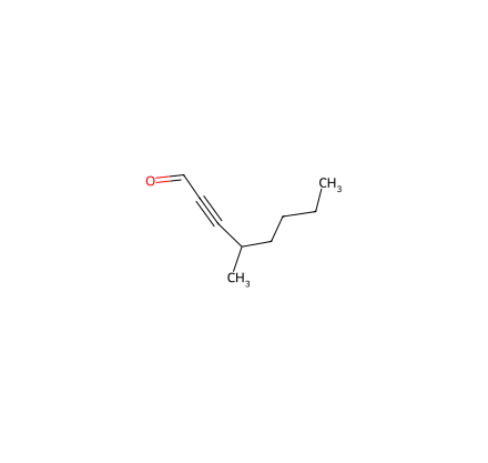 CCCCC(C)C#CC=O